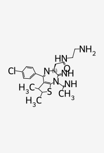 CC(=N)N1C(=N)[C@H](CC(=O)NCCN)N=C(c2ccc(Cl)cc2)C2=C1SC(C)C2C